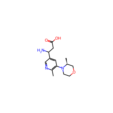 Cc1ncc(C(N)CC(=O)O)cc1N1CCOC[C@@H]1C